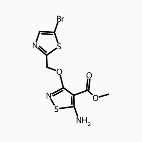 COC(=O)c1c(OCc2ncc(Br)s2)nsc1N